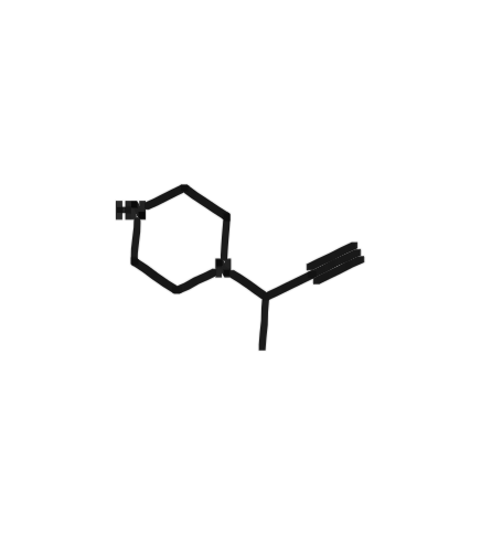 C#CC(C)N1CCNCC1